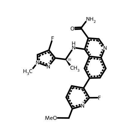 COCc1ccc(-c2ccc3ncc(C(N)=O)c(N[C@@H](C)c4nn(C)cc4F)c3c2)c(F)n1